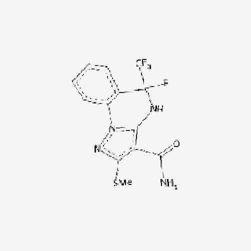 CSc1nn2c(c1C(N)=O)NC(F)(C(F)(F)F)c1ccccc1-2